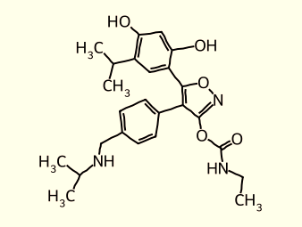 CCNC(=O)Oc1noc(-c2cc(C(C)C)c(O)cc2O)c1-c1ccc(CNC(C)C)cc1